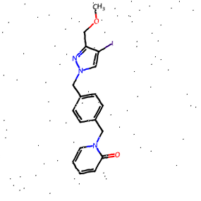 COCc1nn(Cc2ccc(Cn3ccccc3=O)cc2)cc1I